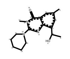 Cc1cc(C(C)O)c2nc(N3CCCCC3)n(C)c(=O)c2c1